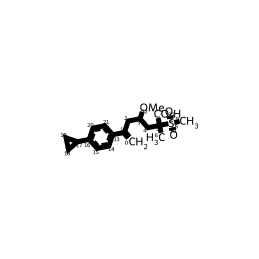 C=C(CC(CC(C)(C(=O)O)S(C)(=O)=O)OC)c1ccc(C2CC2)cc1